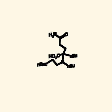 CCCCCCCCCCCCN(CCCC)C(CCCC)(CCC(N)=O)C(=O)O